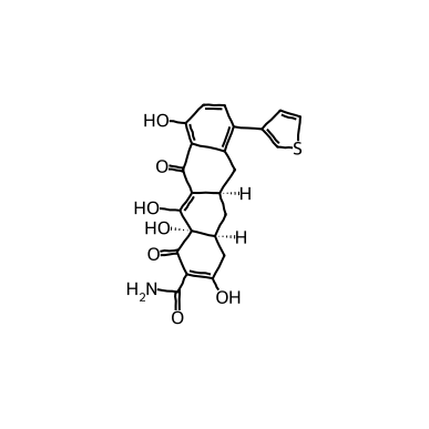 NC(=O)C1=C(O)C[C@@H]2C[C@@H]3Cc4c(-c5ccsc5)ccc(O)c4C(=O)C3=C(O)[C@]2(O)C1=O